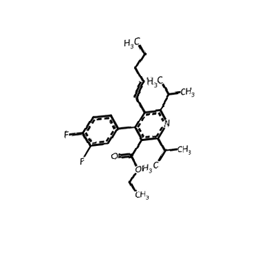 CCCC=Cc1c(C(C)C)nc(C(C)C)c(C(=O)OCC)c1-c1ccc(F)c(F)c1